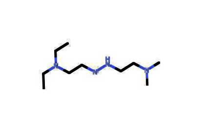 CCN(CC)CC[N]NCCN(C)C